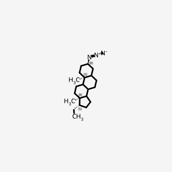 CC[C@H]1CCC2C3CCC4C[C@H](N=[N+]=[N-])CC[C@]4(C)C3CC[C@@]21C